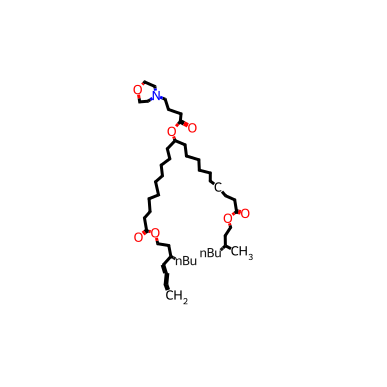 C=C=C=CC(CCCC)CCOC(=O)CCCCCCCCCC(CCCCCCCCCC(=O)OCCC(C)CCCC)OC(=O)CCCN1CCOCC1